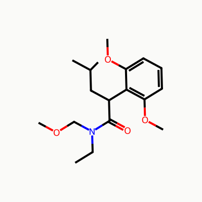 CCN(COC)C(=O)C(CC(C)C)c1c(OC)cccc1OC